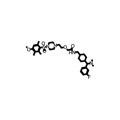 COc1cc(C)c(S(=O)(=O)N2CCN(CCOCC(=O)NCC3CCC(C(c4cccc(F)c4)N(C)C)CC3)CC2)c(C)c1C